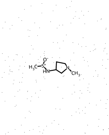 CN1CCC(N[S+](C)[O-])C1